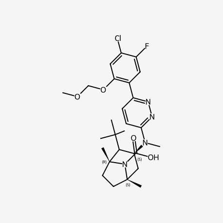 COCOc1cc(Cl)c(F)cc1-c1ccc(N(C)[C@H]2C[C@]3(C)CC[C@](C)(C2C(C)(C)C)N3C(=O)O)nn1